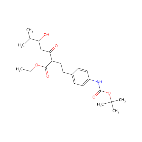 CCOC(=O)C(CCc1ccc(NC(=O)OC(C)(C)C)cc1)C(=O)CC(O)C(C)C